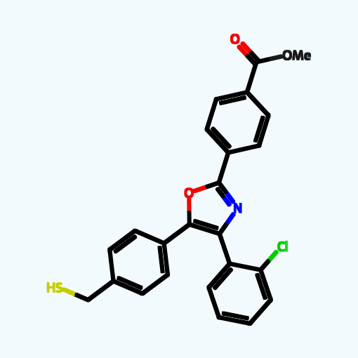 COC(=O)c1ccc(-c2nc(-c3ccccc3Cl)c(-c3ccc(CS)cc3)o2)cc1